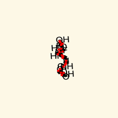 Cc1c(NC(=O)c2ccc(C(C)(C)O)cc2F)cc(F)cc1-c1ncnc2[nH]c(-c3ccc(CN4CCC(CCNC(=O)COc5cccc(C6CCC(=O)NC6=O)c5)CC4)cc3)cc12